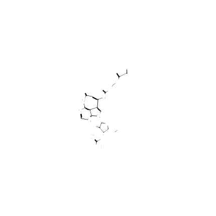 CC(=O)O[C@@H]1[C@@H](CO)O[C@@H](n2cc3c4c(ncnc42)NC(=O)C=C3NC(=O)OCOC(=O)C(C)C)[C@]1(C)O